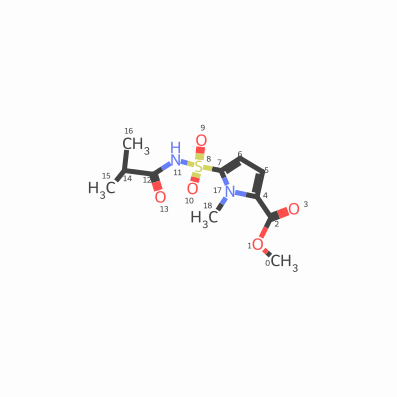 COC(=O)c1ccc(S(=O)(=O)NC(=O)C(C)C)n1C